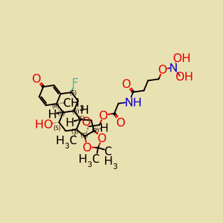 CC1(C)O[C@@H]2C[C@H]3[C@@H]4C[C@H](F)C5=CC(=O)C=C[C@]5(C)[C@H]4[C@@H](O)C[C@]3(C)[C@]2(C(=O)COC(=O)CNC(=O)CCCON(O)O)O1